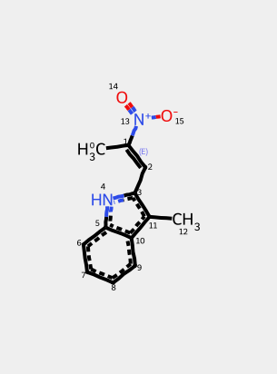 C/C(=C\c1[nH]c2ccccc2c1C)[N+](=O)[O-]